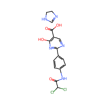 C1=NCCN1.O=C(O)c1cnc(-c2ccc(NC(=O)C(Cl)Cl)cc2)nc1O